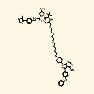 Cc1ncsc1-c1ccc(CNC(=O)[C@@H]2C[C@@H](O)CN2C(=O)[C@@H](NC(=O)COCCOCCOCCCCCCN2CCC(n3nc(-c4ccc(Oc5ccccc5)cc4)c4c(N)ncnc43)CC2)C(C)(C)C)cc1